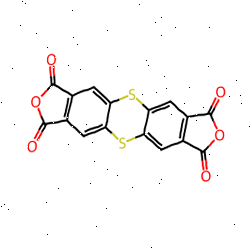 O=c1oc(=O)c2cc3sc4cc5c(=O)oc(=O)c5cc4sc3cc12